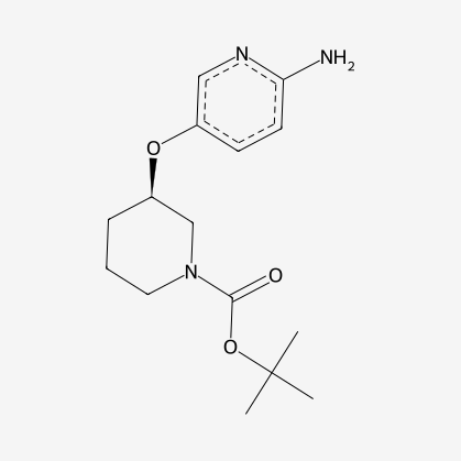 CC(C)(C)OC(=O)N1CCC[C@@H](Oc2ccc(N)nc2)C1